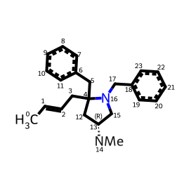 CC=CCC1(Cc2ccccc2)C[C@@H](NC)CN1Cc1ccccc1